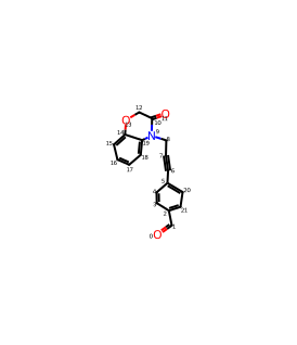 O=Cc1ccc(C#CCN2C(=O)COc3ccccc32)cc1